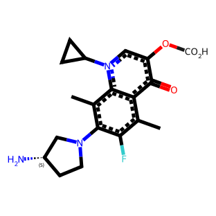 Cc1c(F)c(N2CC[C@H](N)C2)c(C)c2c1c(=O)c(OC(=O)O)cn2C1CC1